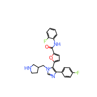 O=C(Nc1ccccc1F)c1ccc(-c2c(-c3ccc(F)cc3)ncn2CC2CCNC2)o1